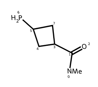 CNC(=O)C1CC(P)C1